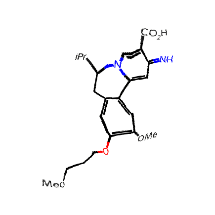 COCCCOc1cc2c(cc1OC)-c1cc(=N)c(C(=O)O)cn1C(C(C)C)C2